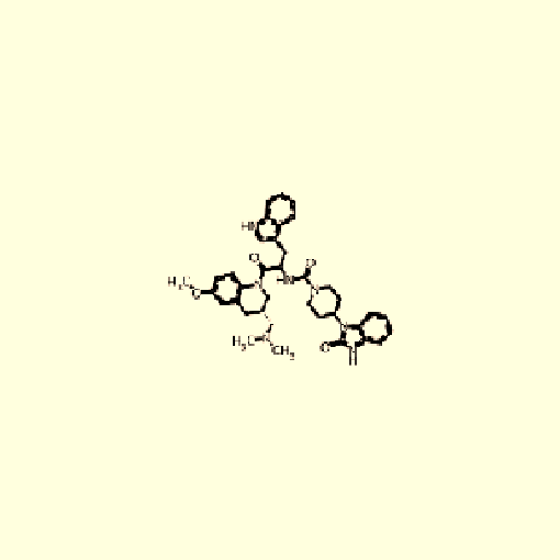 COc1ccc2c(c1)C[C@@H](CN(C)C)CN2C(=O)C(Cc1c[nH]c2ccccc12)NC(=O)N1CCC(n2c(=O)[nH]c3ccccc32)CC1